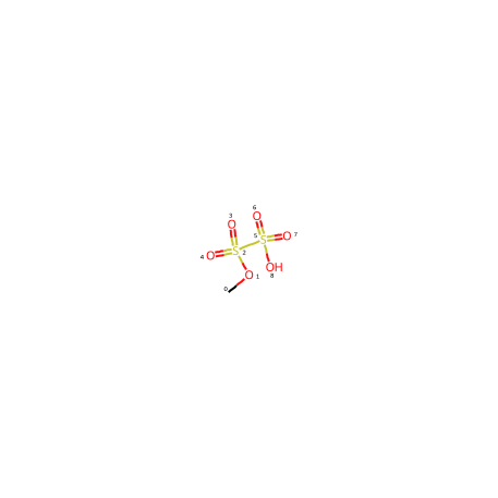 COS(=O)(=O)S(=O)(=O)O